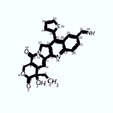 CCC1(O)C(=O)OCc2c1cc1n(c2=O)Cc2c-1nc1ccc(C=N)cc1c2-c1cccs1